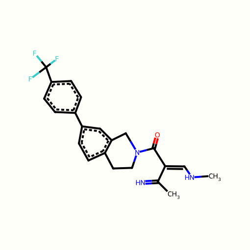 CN/C=C(\C(C)=N)C(=O)N1CCc2ccc(-c3ccc(C(F)(F)F)cc3)cc2C1